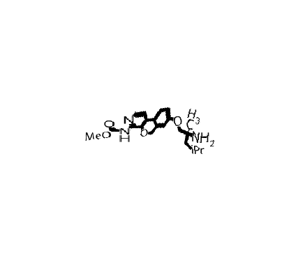 COC(=O)Nc1nccc2c1OCc1cc(OC[C@@](C)(N)CC(C)C)ccc1-2